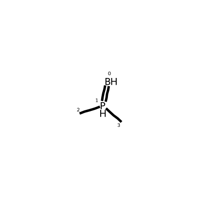 B=[PH](C)C